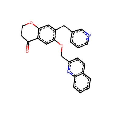 O=C1CCOc2cc(Cc3cccnc3)c(OCc3ccc4ccccc4n3)cc21